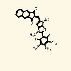 CCn1c(C=C2C(=O)c3cc4ccccc4cc3C2=O)cc2c1nc(-c1c(F)c(P)c(P)c(P)c1F)n2C